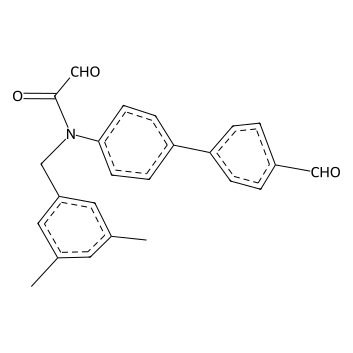 Cc1cc(C)cc(CN(C(=O)C=O)c2ccc(-c3ccc(C=O)cc3)cc2)c1